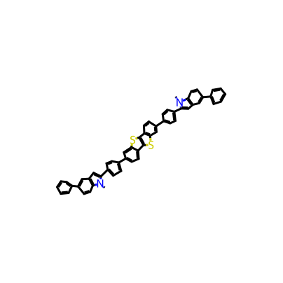 Cn1c(-c2ccc(-c3ccc4c(c3)sc3c5ccc(-c6ccc(-c7cc8cc(-c9ccccc9)ccc8n7C)cc6)cc5sc43)cc2)cc2cc(-c3ccccc3)ccc21